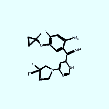 CC1(Oc2cc(C(=N)C3C=C(N4CCC(F)(F)C4)N=CN3)c(N)cc2F)CC1